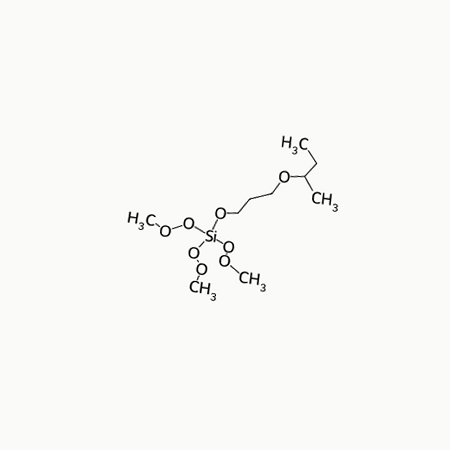 CCC(C)OCCCO[Si](OOC)(OOC)OOC